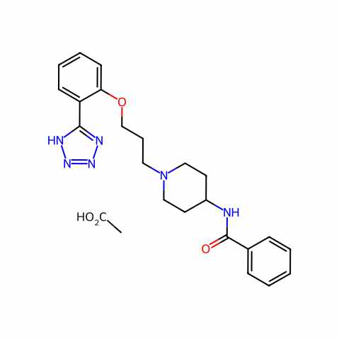 CC(=O)O.O=C(NC1CCN(CCCOc2ccccc2-c2nnn[nH]2)CC1)c1ccccc1